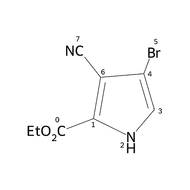 CCOC(=O)c1[nH]cc(Br)c1C#N